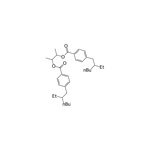 CCCCC(CC)Cc1ccc(C(=O)OC(C)C(C)OC(=O)c2ccc(CC(CC)CCCC)cc2)cc1